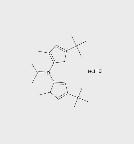 CC1=[C]([Zr]([C]2=CC(C(C)(C)C)=CC2C)=[C](C)C)CC(C(C)(C)C)=C1.Cl.Cl